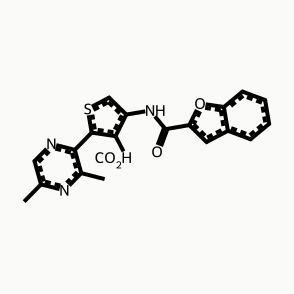 Cc1cnc(-c2scc(NC(=O)c3cc4ccccc4o3)c2C(=O)O)c(C)n1